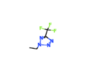 CCn1nnc(C(F)(F)F)n1